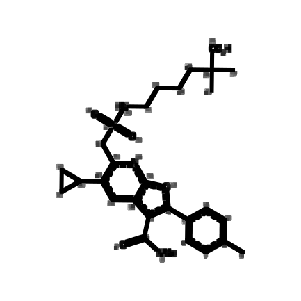 CNC(=O)c1c(-c2ccc(C)cc2)oc2nc(CS(=O)(=O)NCCCCC(C)(C)C(=O)O)c(C3CC3)cc12